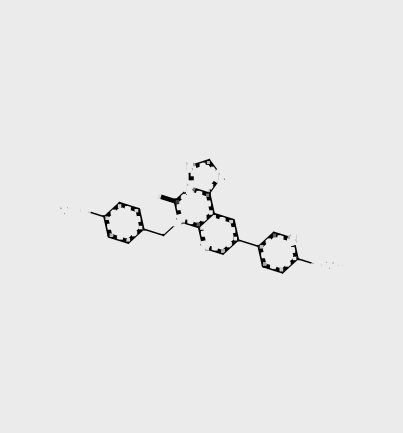 COc1ccc(Cn2c(=O)n3ncnc3c3cc(-c4ccc(OC)nc4)cnc32)cc1